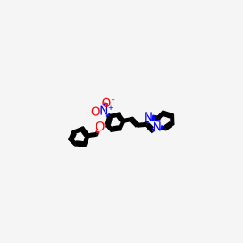 O=[N+]([O-])c1cc(/C=C/c2cn3ccccc3n2)ccc1OCc1ccccc1